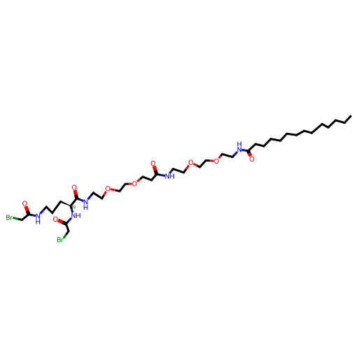 CCCCCCCCCCCCCC(=O)NCCOCCOCCNC(=O)CCOCCOCCNC(=O)[C@H](CCCNC(=O)CBr)NC(=O)CBr